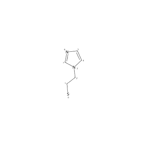 [S]CCn1ccnc1